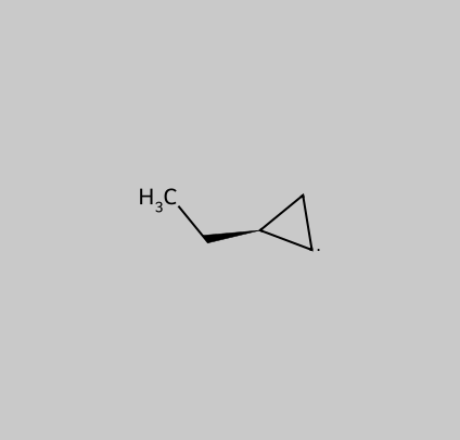 CC[C@@H]1[CH]C1